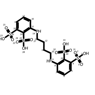 O=S(=O)(O)c1cccc(PCCCCPc2cccc(S(=O)(=O)O)c2S(=O)(=O)O)c1S(=O)(=O)O